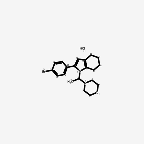 CC(N1CCOCC1)n1c(-c2ccc(Br)cc2)cc2c1CCCC2.Cl